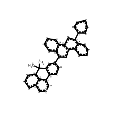 CC1(C)c2cc(-c3cc4c5ccccc5c(-c5ccccc5)cc4c4ccccc34)ccc2-c2cncc3cccc1c23